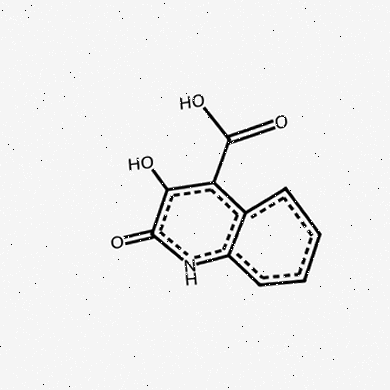 O=C(O)c1c(O)c(=O)[nH]c2ccccc12